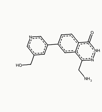 NCc1n[nH]c(=O)c2ccc(-c3cncc(CO)c3)cc12